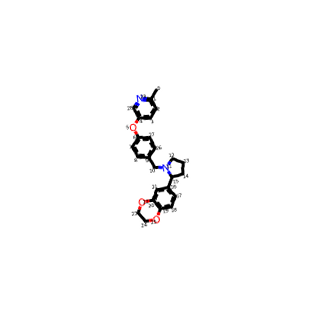 Cc1ccc(Oc2ccc(CN3CCCC3c3ccc4c(c3)OCCO4)cc2)cn1